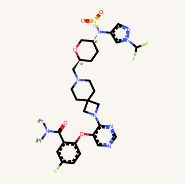 CC(C)N(C(=O)c1cc(F)ccc1Oc1cncnc1N1CC2(CCN(C[C@@H]3CC[C@@H](N(c4cnn(C(F)F)c4)[SH](=O)=O)CO3)CC2)C1)C(C)C